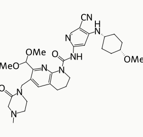 COC(OC)c1nc2c(cc1CN1CCN(C)CC1=O)CCCN2C(=O)Nc1cc(N[C@H]2CC[C@@H](OC)CC2)c(C#N)cn1